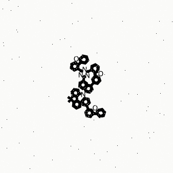 CC1(C)c2ccccc2-c2c(N(c3ccc(-c4ccc5oc6cccc(-c7nc(-c8ccccc8)nc(-c8cccc9oc%10ccccc%10c89)n7)c6c5c4)cc3)c3ccc(-c4cccc5c4oc4ccccc45)cc3)cccc21